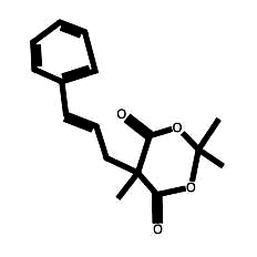 CC1(C)OC(=O)C(C)(CC=Cc2ccccc2)C(=O)O1